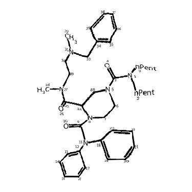 CCCCCN(CCCCC)C(=O)N1CCN(C(=O)N(c2ccccc2)c2ccccc2)C(C(=O)N(C)CCN(C)Cc2ccccc2)C1